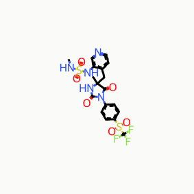 CNS(=O)(=O)Nc1cnccc1CC1(C)NC(=O)N(c2ccc(S(=O)(=O)C(F)(F)F)cc2)C1=O